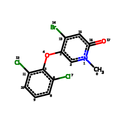 Cn1cc(Oc2c(Cl)cccc2Cl)c(Br)cc1=O